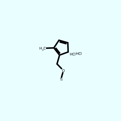 CC1=C(C[O][Ti])CC=C1.Cl.Cl